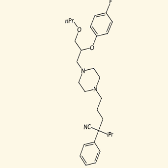 CCCOCC(CN1CCN(CCCC(C#N)(c2ccccc2)C(C)C)CC1)Oc1ccc(F)cc1